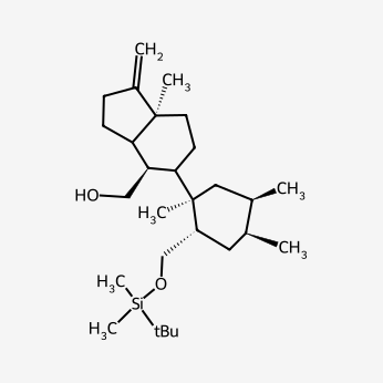 C=C1CCC2[C@H](CO)C([C@@]3(C)C[C@@H](C)[C@@H](C)C[C@@H]3CO[Si](C)(C)C(C)(C)C)CC[C@]12C